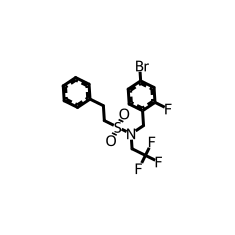 O=S(=O)(CCc1ccccc1)N(Cc1ccc(Br)cc1F)CC(F)(F)F